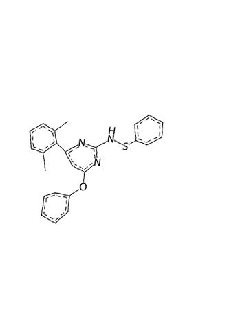 Cc1cccc(C)c1-c1cc(Oc2ccccc2)nc(NSc2ccccc2)n1